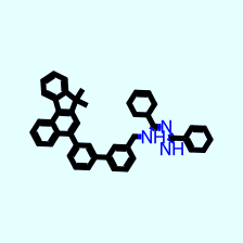 CC1(C)c2ccccc2-c2c1cc(-c1cccc(-c3cccc(CN/C(=N\C(=N)C4=CCCC=C4)C4CC=CCC4)c3)c1)c1ccccc21